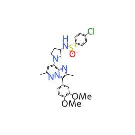 COc1ccc(-c2c(C)nc3c(N4CCC(N[S+]([O-])c5ccc(Cl)cc5)C4)cc(C)nn23)cc1OC